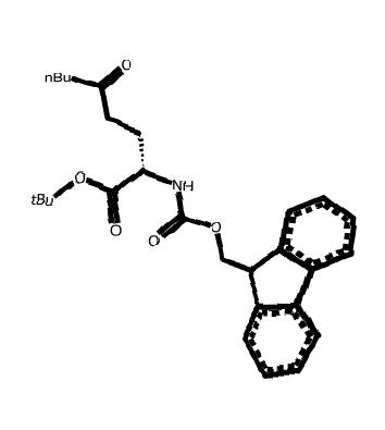 CCCCC(=O)CC[C@H](NC(=O)OCC1c2ccccc2-c2ccccc21)C(=O)OC(C)(C)C